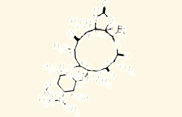 CC[C@H]1OC(=O)[C@H](C)C(=O)[C@H](C)[C@@H](O[C@@H]2O[C@H](C)[C@@H](OC(C)(C)C)[C@H](N(C)C)[C@H]2O)[C@](C)(OC)C[C@@H](C)C(=O)[C@H](C)[C@H]2NC(=O)O[C@@]21C